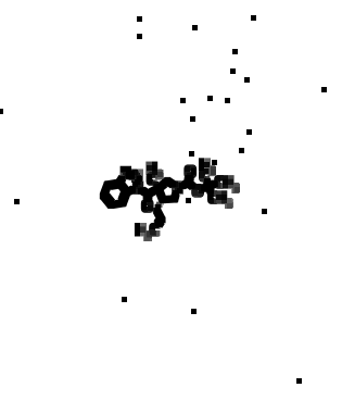 C=CC[C@H]1CN(C(=O)OC(C)(C)C)C[C@@]1(C)C(=O)n1nnc2ccccc21